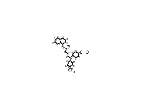 O=Cc1ccc(/C(=C\C=C\C(=O)Nc2cccc3cnccc23)c2ccc(C(F)(F)F)cc2)cc1